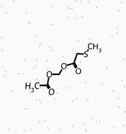 CSCC(=O)OCOC(C)=O